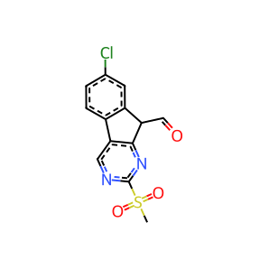 CS(=O)(=O)c1ncc2c(n1)C(C=O)c1cc(Cl)ccc1-2